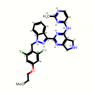 COCCOc1cc(F)c(Cn2nc(-c3nc4c(c(Nc5ccnc(C)n5)n3)CNC4)c3ccccc32)c(F)c1